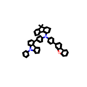 CC1(C)c2ccccc2-c2c(N(c3ccc(-c4ccc5c(c4)oc4ccccc45)cc3)c3ccc(-c4cccc5c4c4ccccc4n5-c4ccccc4)cc3)cccc21